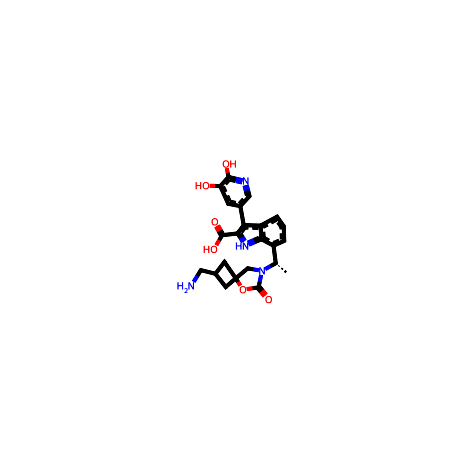 C[C@@H](c1cccc2c(-c3cnc(O)c(O)c3)c(C(=O)O)[nH]c12)N1CC2(CC(CN)C2)OC1=O